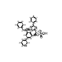 N#C[N+]12N=C(c3ccccc3)N=C1C=Cc1cc(-c3cccnc3)cc(NCc3ccccc3)c12.O=S(=O)(O)O